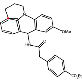 CCOC(=O)c1ccc(CC(=O)NC(c2ccccc2)c2cc(OC)ccc2N2CCCCC2)cc1